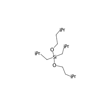 CC(C)CCO[Si](CC(C)C)(CC(C)C)OCCC(C)C